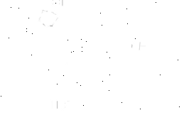 CCCCCCCCCCc1cccc(O)c1CCCCCCCCCC